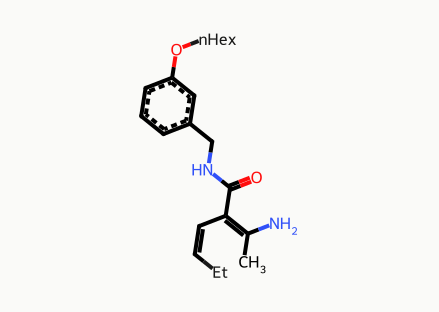 CC/C=C\C(C(=O)NCc1cccc(OCCCCCC)c1)=C(/C)N